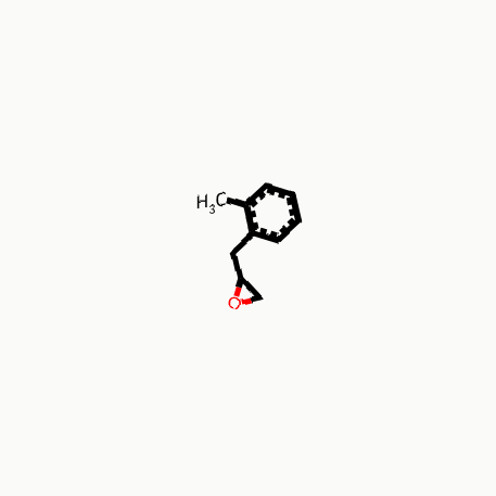 Cc1ccccc1CC1CO1